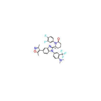 Cc1noc(C)c1-c1ccc2c(c1)nc([C@@H]1CCCC(=O)N1c1ccc(F)c(F)c1)n2-c1ccc(N(C)C)c(C(F)(F)F)c1